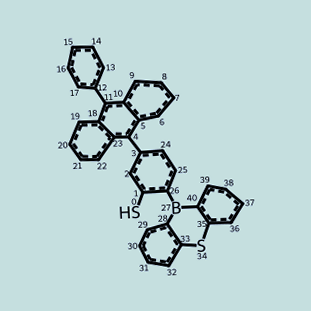 Sc1cc(-c2c3ccccc3c(-c3ccccc3)c3ccccc23)ccc1B1c2ccccc2Sc2ccccc21